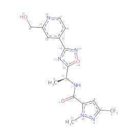 C[C@H](NC(=O)c1cc(C(F)(F)F)nn1C)c1nc(-c2ccnc(CO)c2)no1